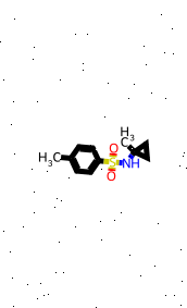 Cc1ccc(S(=O)(=O)NC2(C)CC2)cc1